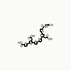 C#CCNC(=O)c1ccc(-c2cc(CC(=O)O)c(-c3ccc(-c4ccc(-c5sc(-c6ccc(C(=O)O)s6)cc5CC(=O)O)s4)s3)s2)s1